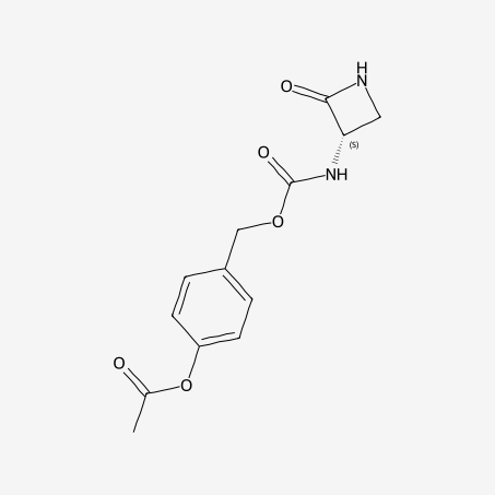 CC(=O)Oc1ccc(COC(=O)N[C@H]2CNC2=O)cc1